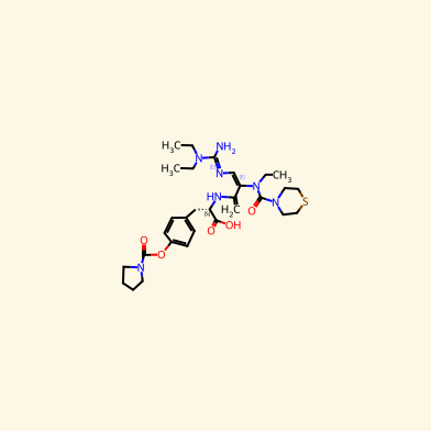 C=C(N[C@@H](Cc1ccc(OC(=O)N2CCCC2)cc1)C(=O)O)/C(=C\N=C(/N)N(CC)CC)N(CC)C(=O)N1CCSCC1